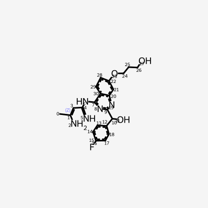 C/C(N)=C/C(=N)Nc1nc(C(O)c2ccc(F)cc2)nc2cc(OCCCO)ccc12